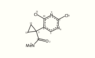 CNC(=O)C1(c2cnc(Cl)nc2Cl)CC1